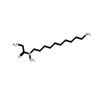 CCC(=O)N(C)CCCCCCCCCCN